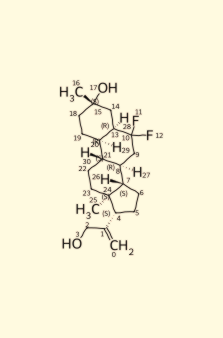 C=C(CO)[C@H]1CC[C@H]2[C@@H]3CC(F)(F)[C@@H]4C[C@@](C)(O)CC[C@@H]4[C@H]3CC[C@]12C